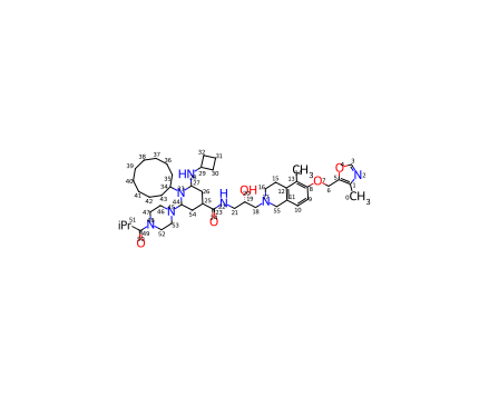 Cc1ncoc1COc1ccc2c(c1C)CCN(C[C@@H](O)CNC(=O)C1CC(NC3CCC3)N(C3CCCCCCCCC3)C(N3CCN(C(=O)C(C)C)CC3)C1)C2